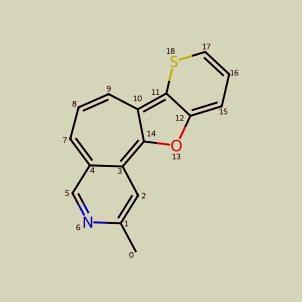 Cc1cc2c(cn1)=CC=Cc1c3c(oc1=2)=CC=CS3